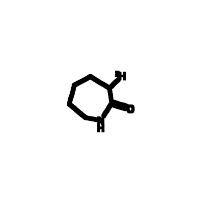 [2H]C1CCCCNC1=O